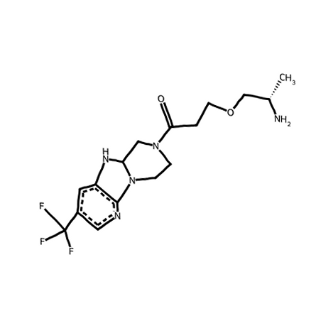 C[C@H](N)COCCC(=O)N1CCN2c3ncc(C(F)(F)F)cc3NC2C1